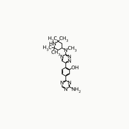 CN(c1ncc(-c2ccc(-c3ncnc(N)n3)cc2O)nn1)C1CC(C)(C)NC(C)(C)C1